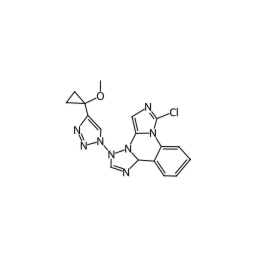 COC1(c2cn(N3C=NC4c5ccccc5-n5c(cnc5Cl)N43)nn2)CC1